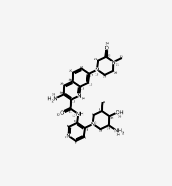 CC1CN(c2ccncc2NC(=O)c2nc3cc(N4CCN(C)C(=O)C4)ccc3cc2N)CC(N)C1O